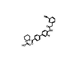 N#Cc1cccc(CC(=O)Nc2ccc(-c3ccc(C(=O)[C@H]4CCCC[C@@H]4C(=O)O)cc3)cc2F)c1